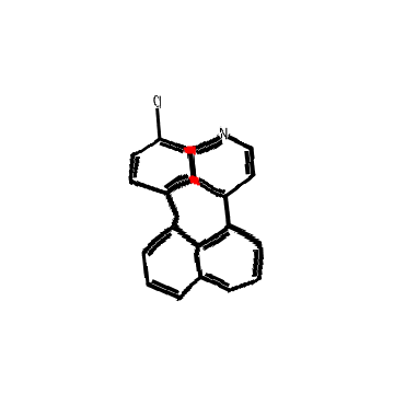 Clc1ccc(-c2cccc3cccc(-c4ccncc4)c23)cc1